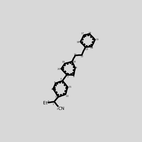 CCC(C#N)c1ccc(-c2ccc(CCc3ccccc3)cc2)cc1